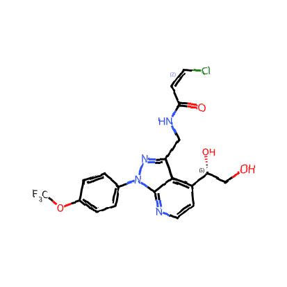 O=C(/C=C\Cl)NCc1nn(-c2ccc(OC(F)(F)F)cc2)c2nccc([C@H](O)CO)c12